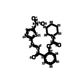 O=C(N=Nc1ncc([N+](=O)[O-])s1)c1ccccc1OC(=O)N1CCCCC1